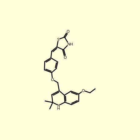 CCOc1ccc2c(c1)C(COc1ccc(C=C3SC(=O)NC3=O)cc1)=CC(C)(C)N2